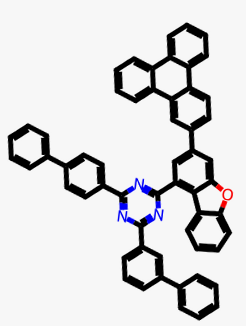 c1ccc(-c2ccc(-c3nc(-c4cccc(-c5ccccc5)c4)nc(-c4cc(-c5ccc6c7ccccc7c7ccccc7c6c5)cc5oc6ccccc6c45)n3)cc2)cc1